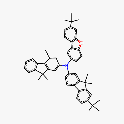 CC1CC(N(c2ccc3c(c2)C(C)(C)c2cc(C(C)(C)C)ccc2-3)c2ccc3oc4cc(C(C)(C)C)ccc4c3c2)=CC2=C1c1ccccc1C2(C)C